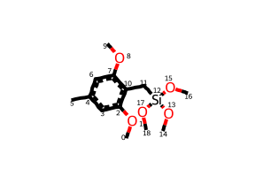 COc1cc(C)cc(OC)c1C[Si](OC)(OC)OC